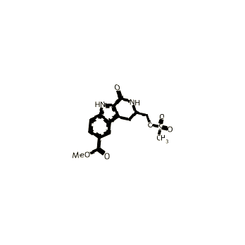 COC(=O)c1ccc2[nH]c3c(c2c1)CC(COS(C)(=O)=O)NC3=O